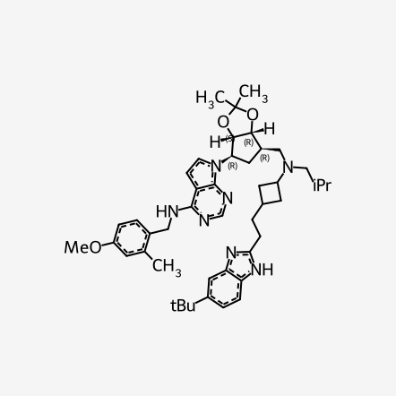 COc1ccc(CNc2ncnc3c2ccn3[C@@H]2C[C@H](CN(CC(C)C)C3CC(CCc4nc5cc(C(C)(C)C)ccc5[nH]4)C3)[C@H]3OC(C)(C)O[C@H]32)c(C)c1